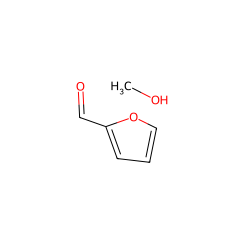 CO.O=Cc1ccco1